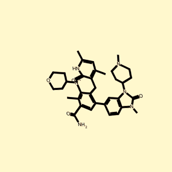 CCN(c1c(C)c(C(N)=O)cc(-c2ccc3c(c2)n(C2CCN(C)CC2)c(=O)n3C)c1Cc1c(C)cc(C)[nH]c1=O)C1CCOCC1